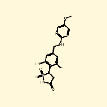 COc1ccc(NCc2cc(O)c(N3CC(=O)NS3(=O)=O)c(F)c2)nc1